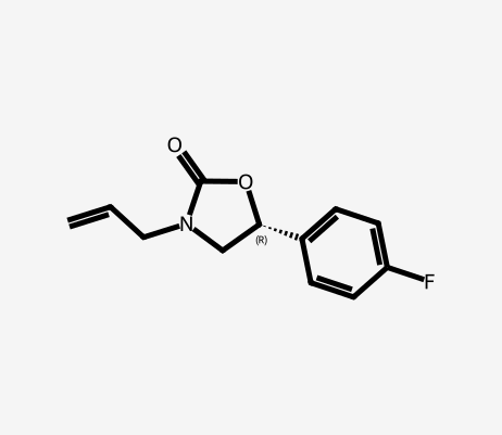 C=CCN1C[C@@H](c2ccc(F)cc2)OC1=O